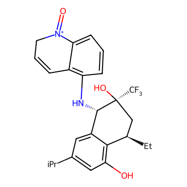 CC[C@@H]1C[C@@](O)(C(F)(F)F)[C@@H](Nc2cccc3c2C=CC[N+]3=O)c2cc(C(C)C)cc(O)c21